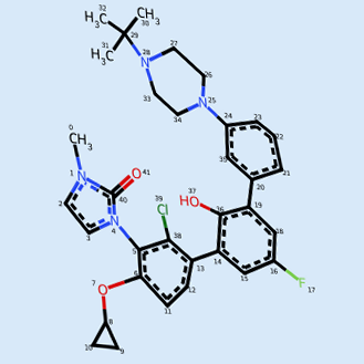 Cn1ccn(-c2c(OC3CC3)ccc(-c3cc(F)cc(-c4cccc(N5CCN(C(C)(C)C)CC5)c4)c3O)c2Cl)c1=O